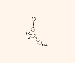 COc1ccc(CSc2nc(-c3ccc(C#Cc4ccccc4)cc3)c(C#N)c(=O)[nH]2)cc1